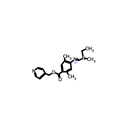 CCN(C)/C=N/c1cc(C)c(C(=O)OCc2ccncc2)cc1C